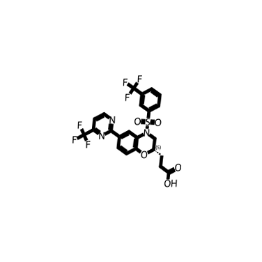 O=C(O)CC[C@H]1CN(S(=O)(=O)c2cccc(C(F)(F)F)c2)c2cc(-c3nccc(C(F)(F)F)n3)ccc2O1